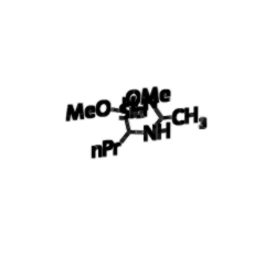 CCCC(NC(C)N)[SiH](OC)OC